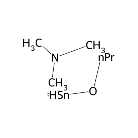 CCC[O][SnH].CN(C)C